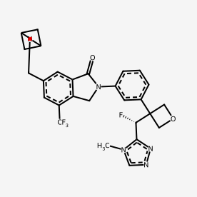 Cn1cnnc1[C@H](F)C1(c2cccc(N3Cc4c(cc(CN5CC6CC5C6)cc4C(F)(F)F)C3=O)c2)COC1